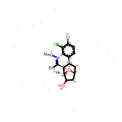 CCC(=NOC)[C@H]1[C@@H](c2ccc(Cl)c(Cl)c2)CC2CC(O)[C@@H]1O2